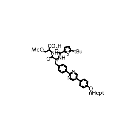 CCCCCCCOc1ccc(-c2cnc(-c3ccc(C[C@H](NC(=O)c4ccc(C(C)(C)C)s4)C(=O)NC(COC)C(=O)O)cc3)nc2)cc1